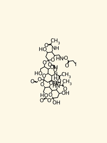 CC(=O)NC1C(O)CC(OC=O)(OC(CO)C(O)C2OC(OC=O)(OC(CO)C(O)C3OC(O)(OC=O)CC(O)C3NC(C)=O)CC(O)C2NC(C)=O)OC1CNOC(=O)CI